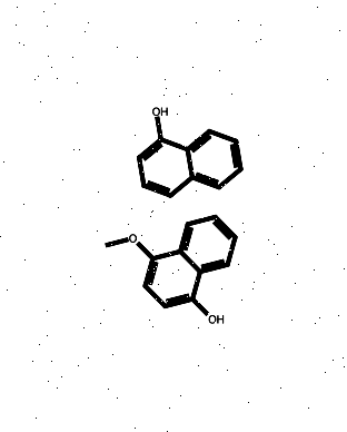 COc1ccc(O)c2ccccc12.Oc1cccc2ccccc12